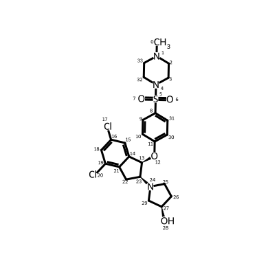 CN1CCN(S(=O)(=O)c2ccc(O[C@@H]3c4cc(Cl)cc(Cl)c4C[C@@H]3N3CC[C@@H](O)C3)cc2)CC1